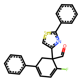 O=CC1(c2csc(-c3ccccc3)n2)CC(c2ccccc2)=CC=C1F